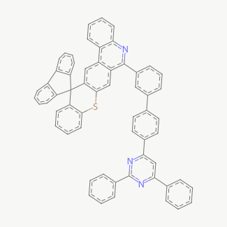 c1ccc(-c2cc(-c3ccc(-c4cccc(-c5nc6ccccc6c6cc7c(cc56)Sc5ccccc5C75c6ccccc6-c6ccccc65)c4)cc3)nc(-c3ccccc3)n2)cc1